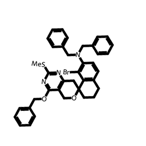 CSc1nc2c(c(OCc3ccccc3)n1)COC1(CCCc3ccc(N(Cc4ccccc4)Cc4ccccc4)c(Br)c31)C2